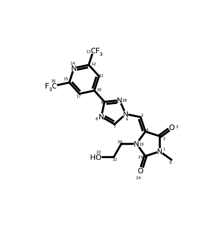 CN1C(=O)C(=Cn2cnc(-c3cc(C(F)(F)F)nc(C(F)(F)F)c3)n2)N(CCO)C1=O